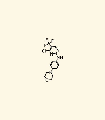 FC(F)(F)c1cnc(Nc2ccc(N3CCOCC3)cc2)nc1Cl